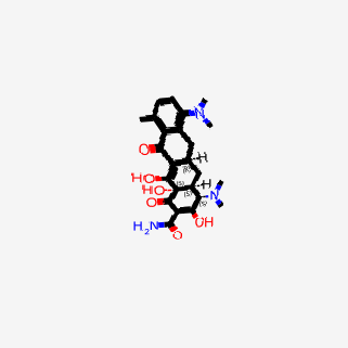 Cc1ccc(N(C)C)c2c1C(=O)C1=C(O)[C@]3(O)C(=O)C(C(N)=O)=C(O)[C@@H](N(C)C)[C@@H]3C[C@@H]1C2